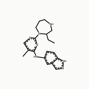 CCC1CNCCCN1c1ncc(C)c(Nc2ccc3[nH]ncc3c2)n1